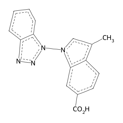 Cc1cn(-n2nnc3ccccc32)c2cc(C(=O)O)ccc12